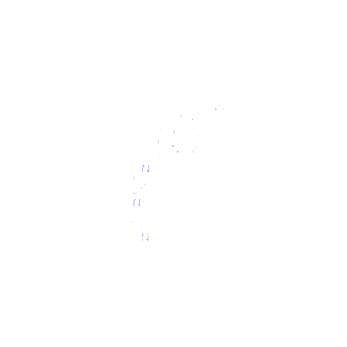 COc1ccc(S(=O)(=O)N2C(=O)C(c3ccccc3OC)(N3C[C@@H]4CN(c5ccncc5)C[C@H]43)c3cc(Cl)ccc32)c(OC)c1